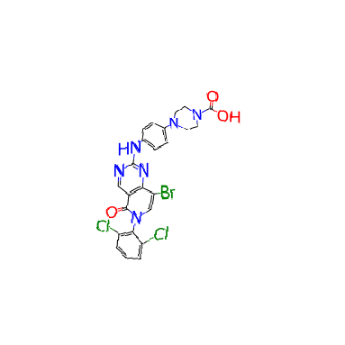 O=C(O)N1CCN(c2ccc(Nc3ncc4c(=O)n(-c5c(Cl)cccc5Cl)cc(Br)c4n3)cc2)CC1